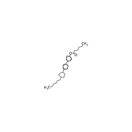 CCCCCCC1CCC(c2ccc(-c3ccc(OC(=O)CCCCC)cc3)cc2)CC1